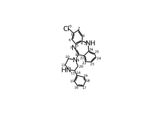 Clc1ccc2c(c1)N=C(N1CCNC(c3ccccc3)C1)c1ccccc1N2